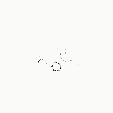 CCCCS(CCC)(CCCC)c1cccc(CNC(=N)N)c1